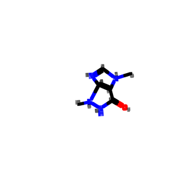 Cn1cnc2c1c(=O)[nH]n2C